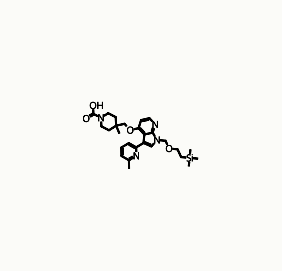 Cc1cccc(-c2cn(COCC[Si](C)(C)C)c3nccc(OCC4(C)CCN(C(=O)O)CC4)c23)n1